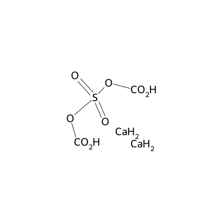 O=C(O)OS(=O)(=O)OC(=O)O.[CaH2].[CaH2]